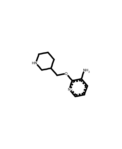 Nc1cccnc1OCC1CCCNC1